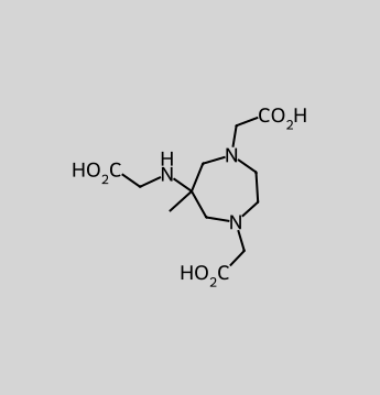 CC1(NCC(=O)O)CN(CC(=O)O)CCN(CC(=O)O)C1